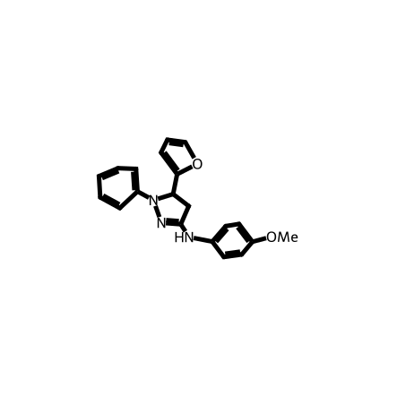 COc1ccc(NC2=NN(c3ccccc3)C(c3ccco3)C2)cc1